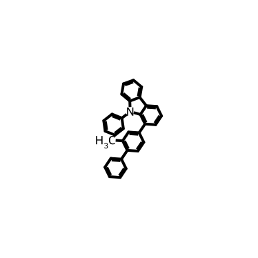 Cc1cc(-c2cccc3c4ccccc4n(-c4ccccc4)c23)ccc1-c1ccccc1